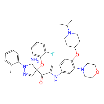 Cc1ccccc1N1N=CC(Oc2ccccc2F)(C(=O)c2cc3cc(OC4CCN(C(C)C)CC4)c(N4CCOCC4)cc3[nH]2)C1N